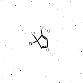 CC[C]1([V+3])C=CC=C1C.[Cl-].[Cl-].[Cl-]